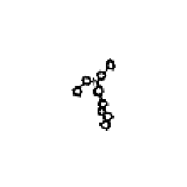 c1ccc(-c2ccc(N(c3ccc(-c4ccc5c(ccc6c7ccccc7ccc56)c4)cc3)c3cccc(-c4ccccc4)c3)cc2)cc1